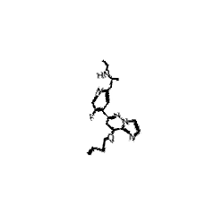 C=CCCOc1cc(-c2cc(C(C)NCC)ncc2F)nn2ccnc12